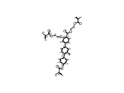 C=C(C)C(=O)OCCOC(=O)c1ccc(-c2ccc(-c3ccc(OC(=O)C(=C)C)cc3)c(F)c2)cc1OCCOC(=O)C(=C)C